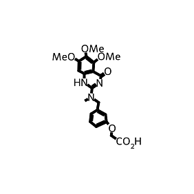 COc1cc2[nH]c(N(C)Cc3cccc(OCC(=O)O)c3)nc(=O)c2c(OC)c1OC